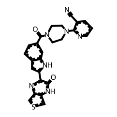 N#Cc1cccnc1N1CCN(C(=O)c2ccc3cc(-c4nc5cscc5[nH]c4=O)[nH]c3c2)CC1